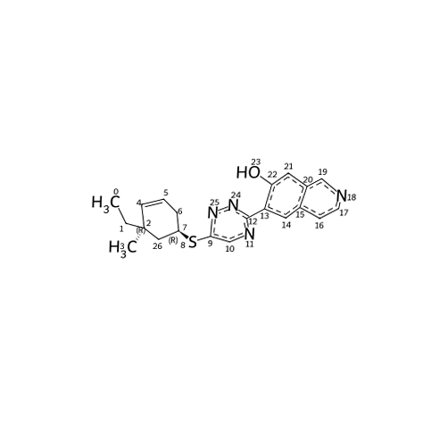 CC[C@@]1(C)C=CC[C@@H](Sc2cnc(-c3cc4ccncc4cc3O)nn2)C1